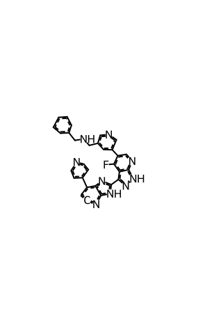 Fc1c(-c2cncc(CNCc3ccccc3)c2)cnc2[nH]nc(-c3nc4c(-c5ccncc5)ccnc4[nH]3)c12